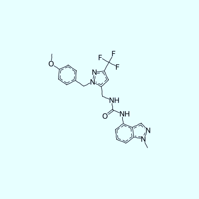 COc1ccc(Cn2nc(C(F)(F)F)cc2CNC(=O)Nc2cccc3c2cnn3C)cc1